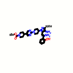 CNc1nn(C2CCN(c3ncc(C4CCN(C(=O)OC(C)(C)C)CC4)cn3)CC2)c(/C=C(\N)c2ccccc2O)c1N